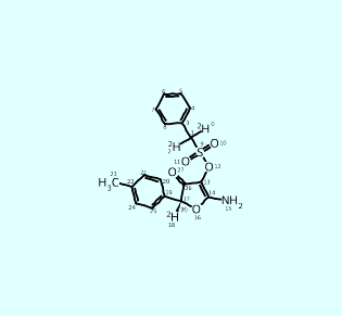 [2H]C([2H])(c1ccccc1)S(=O)(=O)OC1=C(N)O[C@]([2H])(c2ccc(C)cc2)C1=O